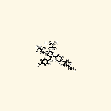 CCN(C)C(=O)O[C@@H]1CN(C2CCN(c3nnc(N)[nH]3)CC2)[C@@H](Cc2ccc(Cl)cc2)CO1.O=C(O)C(F)(F)F